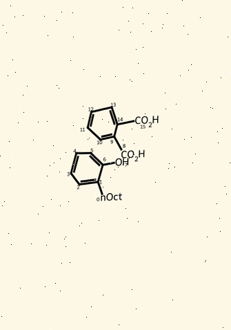 CCCCCCCCc1ccccc1O.O=C(O)c1ccccc1C(=O)O